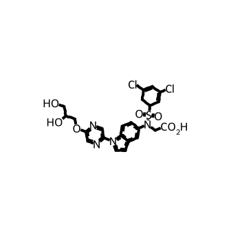 O=C(O)CN(c1ccc2c(ccn2-c2cnc(OCC(O)CO)cn2)c1)S(=O)(=O)C1C=C(Cl)C=C(Cl)C1